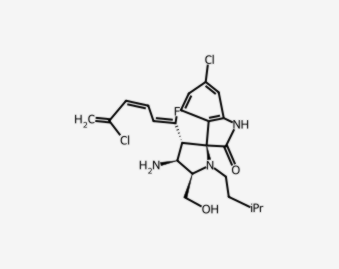 C=C(Cl)/C=C\C=C(/F)[C@H]1[C@H](N)[C@H](CO)N(CCC(C)C)[C@@]12C(=O)Nc1cc(Cl)ccc12